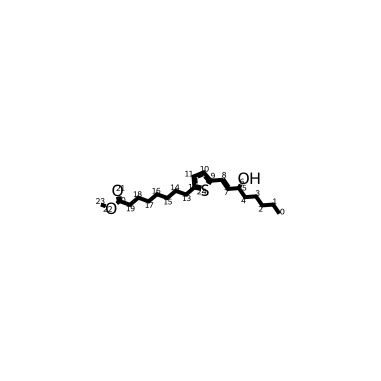 CCCCCC(O)C=Cc1ccc(CCCCCCCC(=O)OC)s1